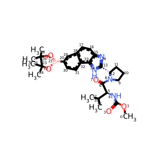 COC(=O)N[C@H](C(=O)N1CCC[C@H]1c1nc2ccc3cc(B4OC(C)(C)C(C)(C)O4)ccc3c2[nH]1)C(C)C